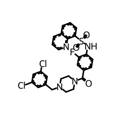 O=C(c1ccc(NS(=O)(=O)c2cccc3cccnc23)c(F)c1)N1CCN(Cc2cc(Cl)cc(Cl)c2)CC1